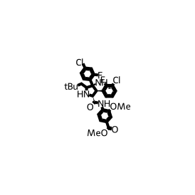 COC(=O)c1ccc(NC(=O)[C@@H]2NC(CC(C)(C)C)[C@](N)(c3ccc(Cl)cc3F)[C@H]2c2cccc(Cl)c2F)c(OC)c1